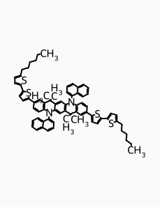 CCCCCCc1ccc(-c2ccc(-c3ccc4c(c3)C(C)(C)c3cc5c(cc3N4c3cccc4ccccc34)C(C)(C)c3cc(-c4ccc(-c6ccc(CCCCCC)s6)s4)ccc3N5c3cccc4ccccc34)s2)s1